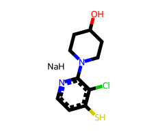 OC1CCN(c2nccc(S)c2Cl)CC1.[NaH]